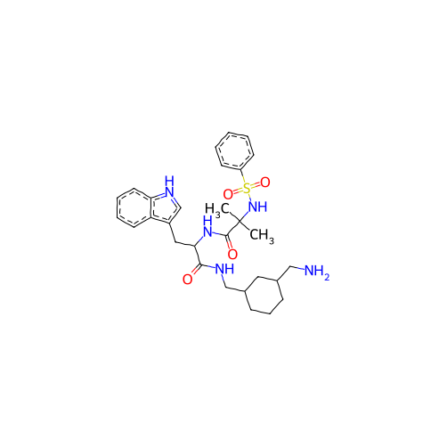 CC(C)(NS(=O)(=O)c1ccccc1)C(=O)NC(Cc1c[nH]c2ccccc12)C(=O)NCC1CCCC(CN)C1